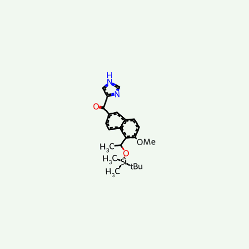 COc1ccc2cc(C(=O)c3c[nH]cn3)ccc2c1C(C)O[Si](C)(C)C(C)(C)C